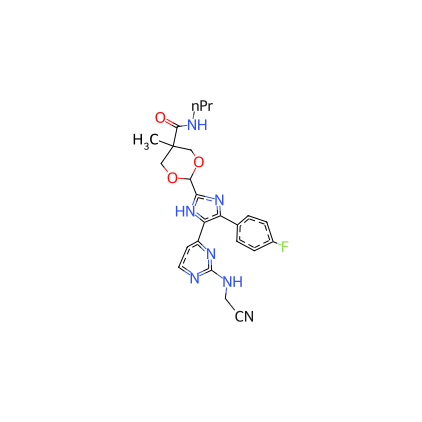 CCCNC(=O)C1(C)COC(c2nc(-c3ccc(F)cc3)c(-c3ccnc(NCC#N)n3)[nH]2)OC1